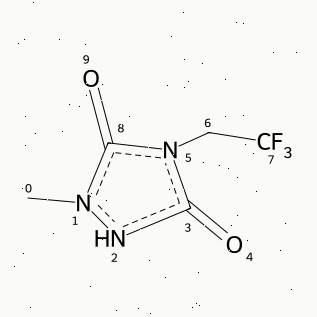 Cn1[nH]c(=O)n(CC(F)(F)F)c1=O